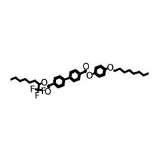 CCCCCCCCOc1ccc(OC(=O)c2ccc(-c3ccc(C(=O)OC(CCCCCC)C(F)(F)F)cc3)cc2)cc1